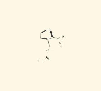 NC(=O)CSc1ccccc1[N+](=O)O